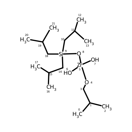 CC(C)C[O][Zr]([OH])([OH])[O][Si](CC(C)C)(CC(C)C)CC(C)C